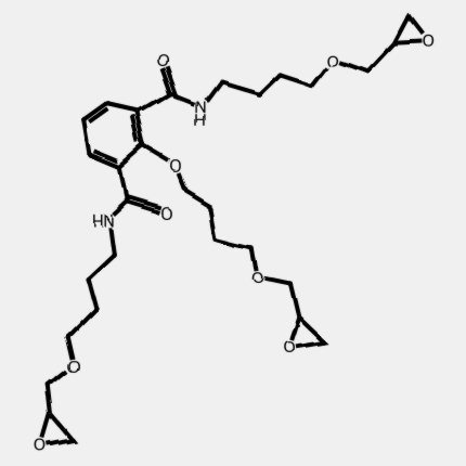 O=C(NCCCCOCC1CO1)c1cccc(C(=O)NCCCCOCC2CO2)c1OCCCCOCC1CO1